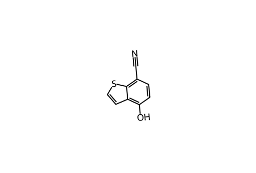 N#Cc1ccc(O)c2ccsc12